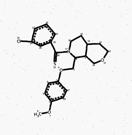 COc1ccc(OCC2C3COCCC3CCN2C(=S)c2cccc(Cl)c2)cc1